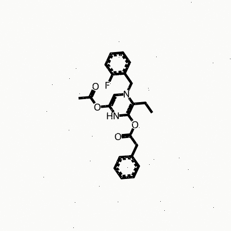 CCC1=C(OC(=O)Cc2ccccc2)NC(OC(C)=O)=CN1Cc1ccccc1F